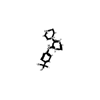 FC(F)(F)c1ccc(Nc2nccnc2N2CCNCC2)cc1